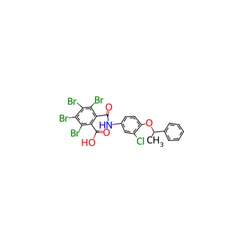 CC(Oc1ccc(NC(=O)c2c(Br)c(Br)c(Br)c(Br)c2C(=O)O)cc1Cl)c1ccccc1